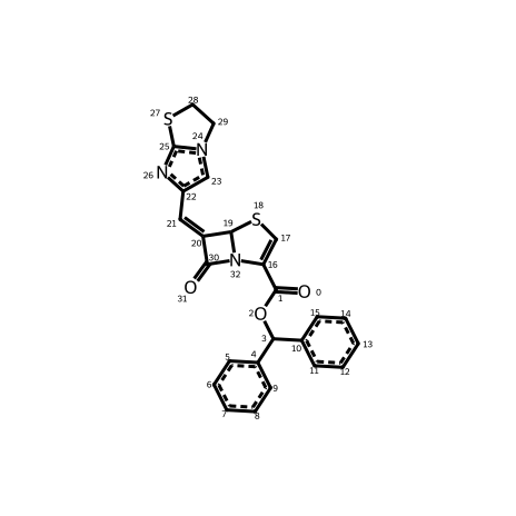 O=C(OC(c1ccccc1)c1ccccc1)C1=CSC2/C(=C\c3cn4c(n3)SCC4)C(=O)N12